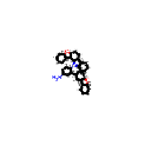 Nc1ccc(-n2c3ccccc3c3ccc4oc5ccccc5c4c32)c(-c2ccc3oc4ccccc4c3c2)c1